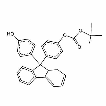 CC(C)(C)OC(=O)Oc1ccc(C2(c3ccc(O)cc3)c3ccccc3C3=CC=CCC32)cc1